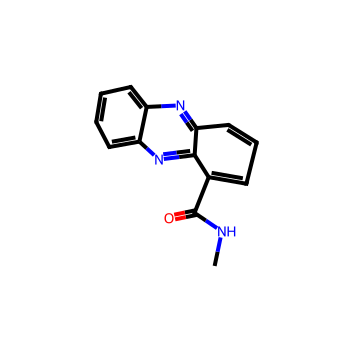 CNC(=O)c1cccc2nc3ccccc3nc12